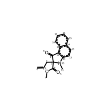 C=CCC1(C(=O)OC)C(=O)c2c(ccc3ccccc23)N1C